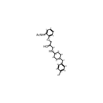 CC(=O)Nc1ccccc1OCC(O)CNC1CCN(Cc2ccc(F)cc2)CC1